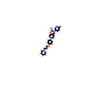 Cc1ccc(N2CC3(CCN(c4ccc(OCCCN5CCCCC5)cc4)CC3)OC2=O)cn1